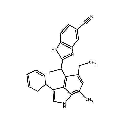 CCc1cc(C)c2[nH]cc(C3C=CC=CC3)c2c1C(I)c1nc2cc(C#N)ccc2[nH]1